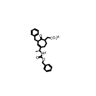 C[C@H](NC(=O)OCc1ccccc1)C1=CC(Cc2ccccc2)C(=O)C(CC(=O)O)CC1